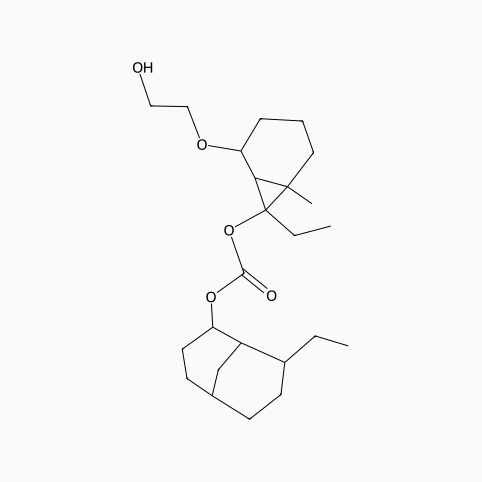 CCC1CCC2CCC(OC(=O)OC3(CC)C4C(OCCO)CCCC43C)C1C2